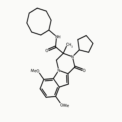 COc1ccc(OC)c2c1cc1n2CC(C)(C(=O)NC2CCCCCCC2)N(C2CCCC2)C1=O